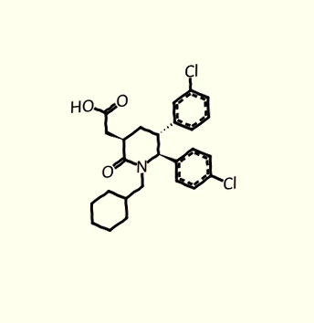 O=C(O)C[C@H]1C[C@H](c2cccc(Cl)c2)[C@@H](c2ccc(Cl)cc2)N(CC2CCCCC2)C1=O